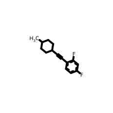 CC1CCC(C#Cc2ccc(F)cc2F)CC1